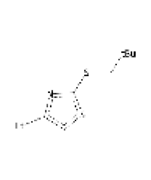 CCc1csc(SCC(C)(C)C)n1